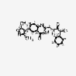 CCC(C(=O)NCc1nc2ccc(-c3c(C)noc3C)cc2c(=O)[nH]1)c1ccccc1